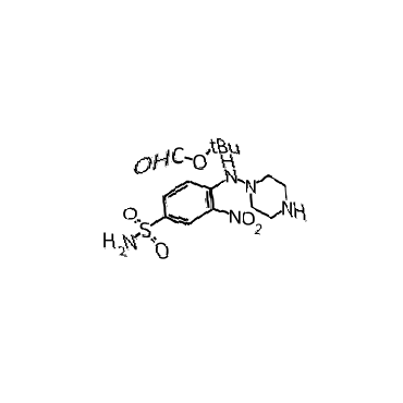 CC(C)(C)OC=O.NS(=O)(=O)c1ccc(NN2CCNCC2)c([N+](=O)[O-])c1